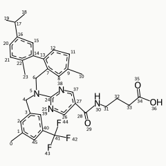 Cc1cc(CN(Cc2cc(C)ccc2-c2cc(C(C)C)ccc2C)c2ncc(C(=O)NCCCC(=O)O)cn2)cc(C(F)(F)F)c1